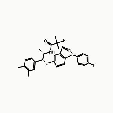 Cc1ccc([C@@H](Oc2ccc3c(cnn3-c3ccc(F)cc3)c2)[C@H](C)NC(=O)C(C)(C)F)cc1C